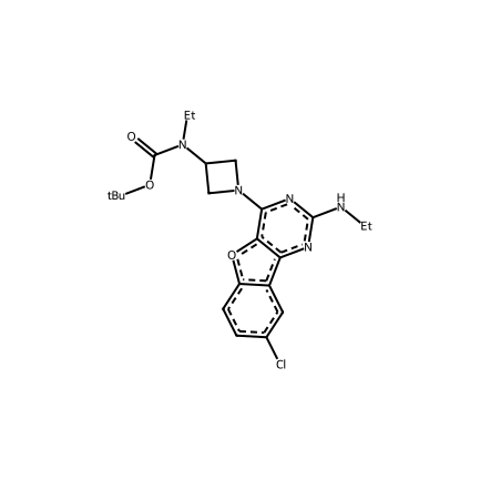 CCNc1nc(N2CC(N(CC)C(=O)OC(C)(C)C)C2)c2oc3ccc(Cl)cc3c2n1